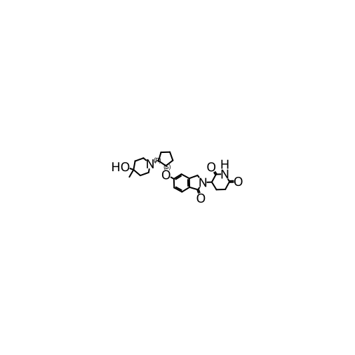 CC1(O)CCN([C@@H]2CCC[C@@H]2Oc2ccc3c(c2)CN(C2CCC(=O)NC2=O)C3=O)CC1